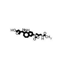 CC(=O)NCC1CN(c2ccc3c(c2)CCCc2c(-c4coc(O)c4)n[nH]c2-3)C(=O)O1